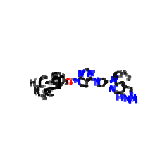 CN(c1cc2cn[nH]c2cn1)[C@@H]1CCN(c2ncnc3c2ccn3COCC[Si](C)(C)C)C1